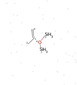 C=CC.[SiH3]O[SiH3]